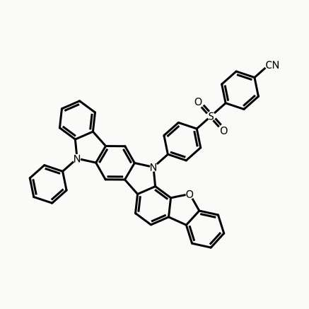 N#Cc1ccc(S(=O)(=O)c2ccc(-n3c4cc5c6ccccc6n(-c6ccccc6)c5cc4c4ccc5c6ccccc6oc5c43)cc2)cc1